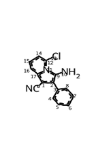 N#Cc1c(-c2ccccc2)c(N)n2c(Cl)cccc12